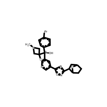 CC(C)c1ccc([C@](O)(c2cncc(-c3nc(C4CC5CCC4O5)no3)c2)C2(C)CN(C)C2)cc1